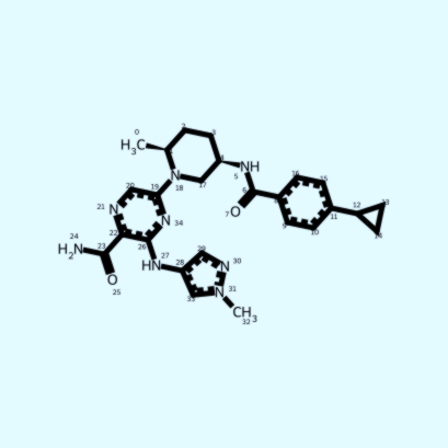 C[C@H]1CC[C@@H](NC(=O)c2ccc(C3CC3)cc2)CN1c1cnc(C(N)=O)c(Nc2cnn(C)c2)n1